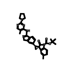 Cc1ccc2c(c1)[C@]1(C[C@H]1c1ccc3c(c1)CN=C3Nc1nc(N3CCCC3)ncc1C)C(=O)N2C(=O)OC(C)(C)C